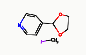 CI.c1cc(C2OCCO2)ccn1